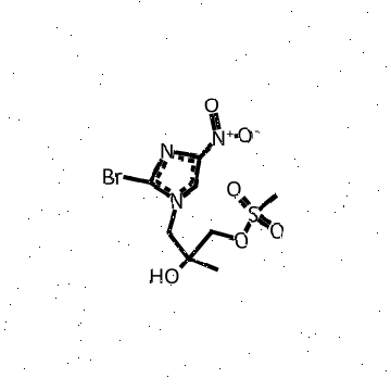 CC(O)(COS(C)(=O)=O)Cn1cc([N+](=O)[O-])nc1Br